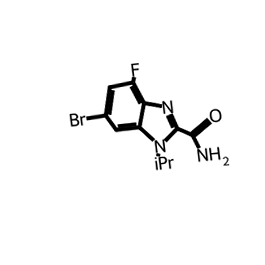 CC(C)n1c(C(N)=O)nc2c(F)cc(Br)cc21